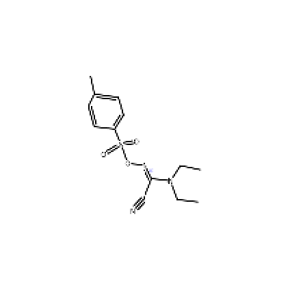 CCN(CC)/C(C#N)=N/OS(=O)(=O)c1ccc(C)cc1